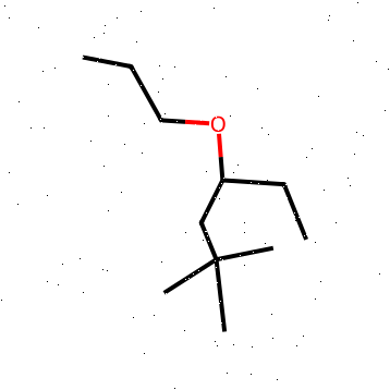 CCCOC(CC)CC(C)(C)C